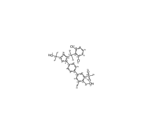 CC(C)(O)c1cn(-c2ccc(-c3cc(F)c(CO)c(S(C)(=O)=O)c3)cc2)c(C(C)(C)c2c(Cl)cccc2Cl)n1